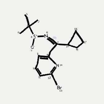 CC(C)(C)[S+]([O-])/N=C(\c1cccc(Br)n1)C1CCC1